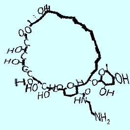 C[C@@H]1[C@H](O)[C@@H](C)/C=C/C=C/C=C/C=C/C=C/C=C/C=C/[C@H](OC2O[C@@H](C)[C@@H](O)C[C@@H]2O)C[C@@H]2O[C@@](O)(CC[C@H]2C(=O)NCCN)C[C@@H](O)C[C@@H](O)[C@H](O)CC[C@@H](O)C[C@@H](O)CC(=O)O[C@H]1C